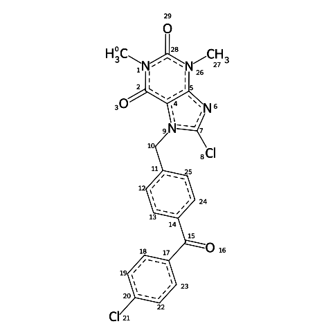 Cn1c(=O)c2c(nc(Cl)n2Cc2ccc(C(=O)c3ccc(Cl)cc3)cc2)n(C)c1=O